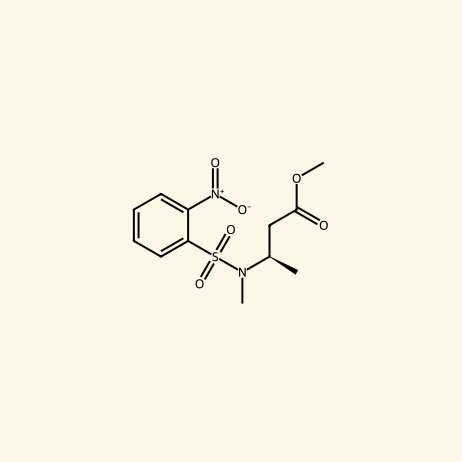 COC(=O)C[C@@H](C)N(C)S(=O)(=O)c1ccccc1[N+](=O)[O-]